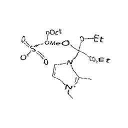 CCCCCCCCOS(=O)(=O)[O-].CCOC(=O)C(OC)(OCC)n1cc[n+](C)c1C